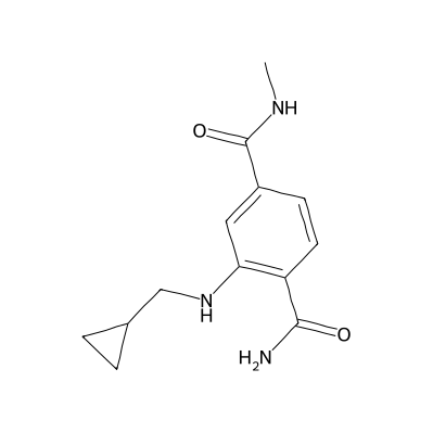 CNC(=O)c1ccc(C(N)=O)c(NCC2CC2)c1